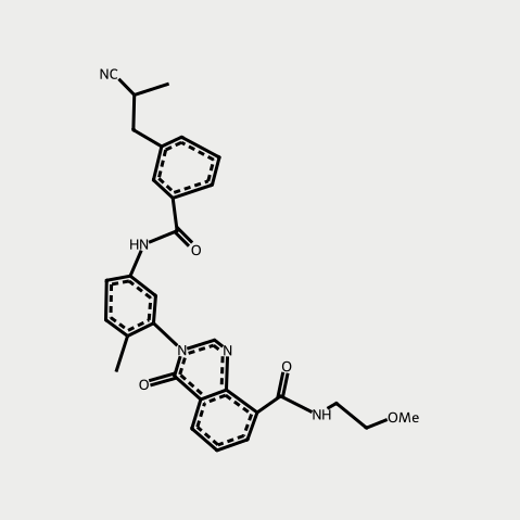 COCCNC(=O)c1cccc2c(=O)n(-c3cc(NC(=O)c4cccc(CC(C)C#N)c4)ccc3C)cnc12